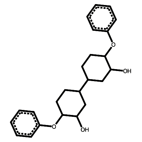 OC1CC(C2CCC(Oc3ccccc3)C(O)C2)CCC1Oc1ccccc1